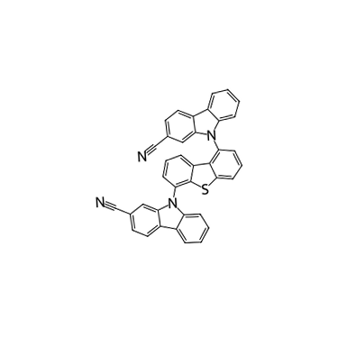 N#Cc1ccc2c3ccccc3n(-c3cccc4c3sc3cccc(-n5c6ccccc6c6ccc(C#N)cc65)c34)c2c1